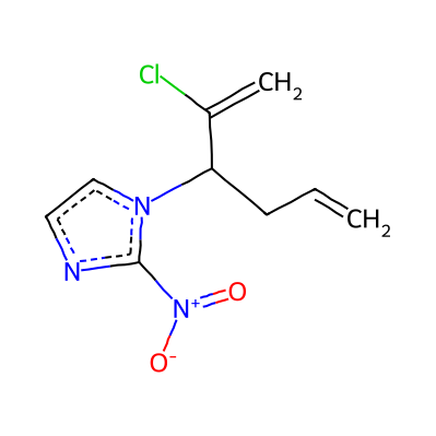 C=CCC(C(=C)Cl)n1ccnc1[N+](=O)[O-]